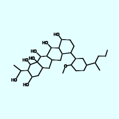 CCCC(C)C1CCC(OC)C(C2CCC(O)C3C(O)C4C(CC23)CC2CC(O)C(C(C)O)C(O)C2(O)C4O)C1